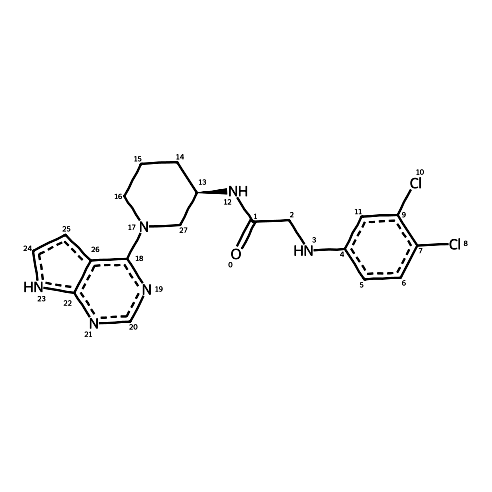 O=C(CNc1ccc(Cl)c(Cl)c1)N[C@@H]1CCCN(c2ncnc3[nH]ccc23)C1